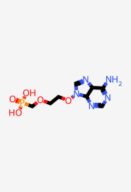 NC1=NC=NC2C1N=CN2OCCOCP(=O)(O)O